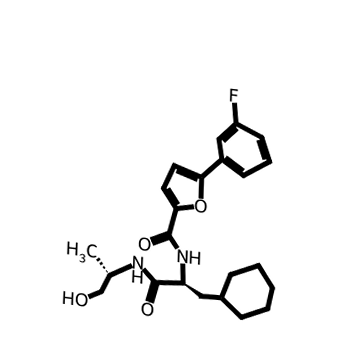 C[C@@H](CO)NC(=O)[C@H](CC1CCCCC1)NC(=O)c1ccc(-c2cccc(F)c2)o1